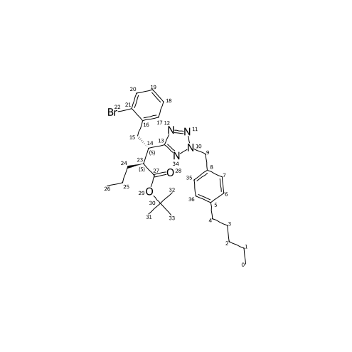 CCCCCc1ccc(Cn2nnc([C@@H](Cc3ccccc3Br)[C@H](CCC)C(=O)OC(C)(C)C)n2)cc1